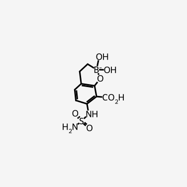 NS(=O)(=O)Nc1ccc2c(c1C(=O)O)O[B-](O)(O)CC2